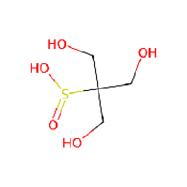 O=S(O)C(CO)(CO)CO